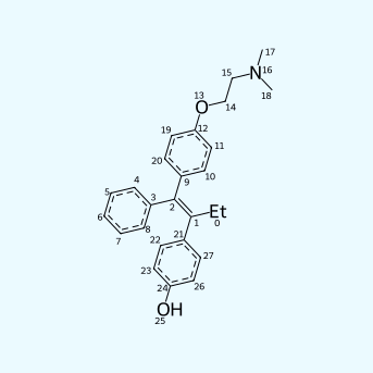 CCC(=C(c1ccccc1)c1ccc(OCCN(C)C)cc1)c1ccc(O)cc1